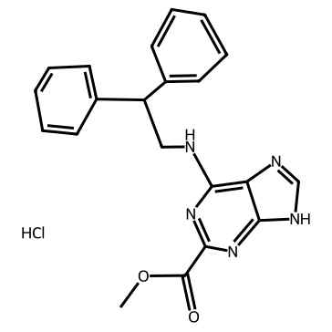 COC(=O)c1nc(NCC(c2ccccc2)c2ccccc2)c2nc[nH]c2n1.Cl